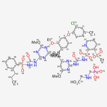 CCOc1cc(Oc2ccc(C(F)(F)F)cc2Cl)ccc1[N+](=O)[O-].CCS(=O)(=O)c1cccnc1S(=O)(=O)NC(=O)Nc1nc(OC)cc(OC)n1.COc1nc(C)nc(NC(=O)NS(=O)(=O)c2ccccc2CCC(F)(F)F)n1.O=C(O)CNCP(=O)(O)O